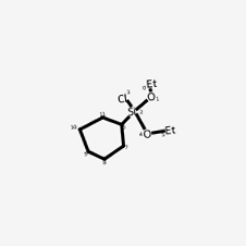 CCO[Si](Cl)(OCC)C1CCCCC1